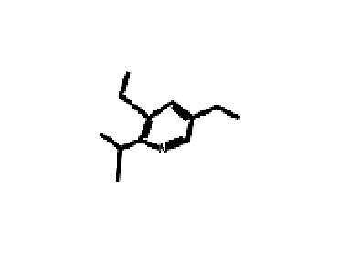 CCc1cnc(C(C)C)c(CC)c1